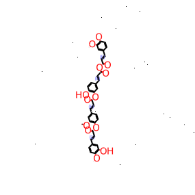 COc1ccc(/C=C/C(=O)Oc2ccc(/C=C/C(=O)Oc3cc(/C=C/C(=O)OC(=O)/C=C/c4ccc(OC)c(OC)c4)ccc3O)cc2OC)cc1O